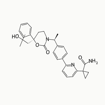 C[C@@H](c1ccc(-c2cccc(C3(C(N)=O)CC3)n2)cc1)N1CC[C@](CC(C)(C)O)(c2ccccc2)OC1=O